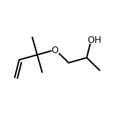 C=CC(C)(C)OCC(C)O